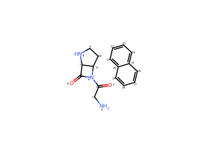 NCC(=O)N1C(=O)C2NCCC21.c1ccc2ccccc2c1